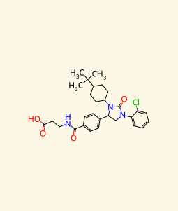 CC(C)(C)C1CCC(N2C(=O)N(c3ccccc3Cl)CC2c2ccc(C(=O)NCCC(=O)O)cc2)CC1